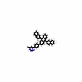 Cc1cc(-c2ccc(-c3ccc4c(-c5ccc6ccccc6c5)c5ccccc5c(-c5ccc6ccccc6c5)c4c3)cc2)ncn1